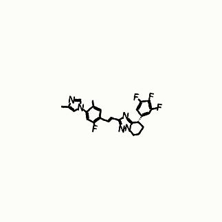 Cc1cn(-c2cc(F)c(/C=C/c3nc4n(n3)CCC[C@H]4c3cc(F)c(F)c(F)c3)cc2C)cn1